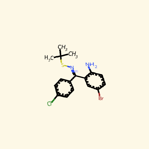 CC(C)(C)S/N=C(\c1ccc(Cl)cc1)c1cc(Br)ccc1N